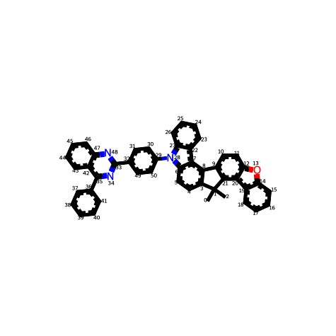 CC1(C)c2ccc3c(c2-c2ccc4oc5ccccc5c4c21)c1ccccc1n3-c1ccc(-c2nc(-c3ccccc3)c3ccccc3n2)cc1